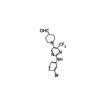 O=CC1CCN(c2cnc(Nc3cccc(Br)c3)nc2C(F)(F)F)CC1